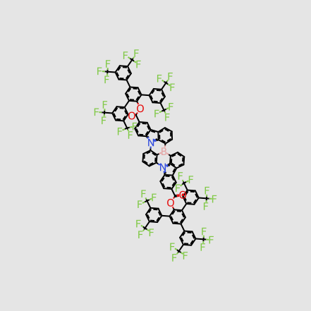 O=C(Oc1c(-c2cc(C(F)(F)F)cc(C(F)(F)F)c2)cc(-c2cc(C(F)(F)F)cc(C(F)(F)F)c2)cc1-c1cc(C(F)(F)F)cc(C(F)(F)F)c1)c1ccc2c(c1)c1cccc3c1n2-c1cccc2c1B3c1cccc3c4cc(C(=O)Oc5c(-c6cc(C(F)(F)F)cc(C(F)(F)F)c6)cc(-c6cc(C(F)(F)F)cc(C(F)(F)F)c6)cc5-c5cc(C(F)(F)F)cc(C(F)(F)F)c5)ccc4n-2c13